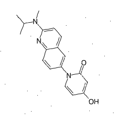 CC(C)N(C)c1ccc2cc(-n3ccc(O)cc3=O)ccc2n1